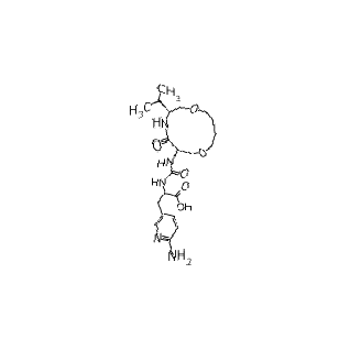 CC(C)[C@H]1COCCCCOC[C@@H](NC(=O)NC(Cc2ccc(N)nc2)C(=O)O)C(=O)N1